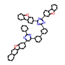 c1ccc(-c2nc(-c3cccc(-c4cccc(-c5nc(-c6ccc7c(c6)oc6ccccc67)nc(-c6ccc7c(c6)oc6ccccc67)n5)c4)c3)cc(-c3ccc4c(c3)oc3cc5ccccc5cc34)n2)cc1